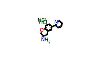 Cl.Cl.N[C@H]1COc2ccc(-c3ccccn3)cc2C1